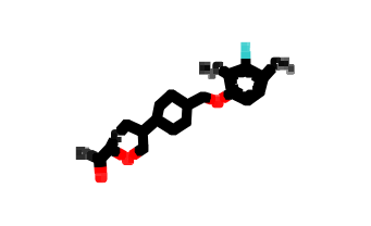 CCC(=O)C1CCC(C2CCC(COc3ccc(C)c(F)c3C)CC2)CO1